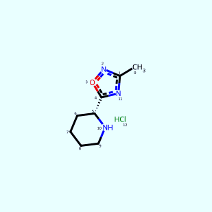 Cc1noc([C@H]2CCCCN2)n1.Cl